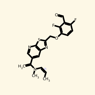 C=C(c1cnc2sc(COc3ccc(F)c(C=O)c3F)nc2c1)N(C)/C=C\C